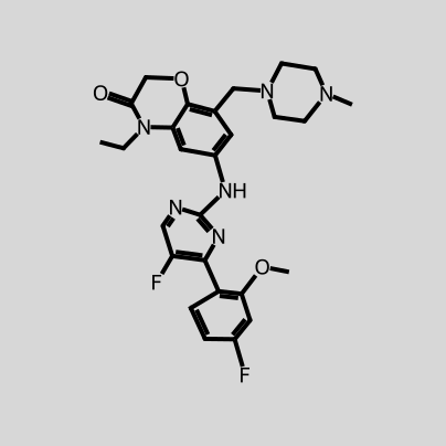 CCN1C(=O)COc2c(CN3CCN(C)CC3)cc(Nc3ncc(F)c(-c4ccc(F)cc4OC)n3)cc21